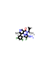 CC(NC(=O)c1cnc(C#N)c(-c2cc(F)cc(F)c2)c1N1C[C@H](N)[C@@H](F)C1)C1CC1